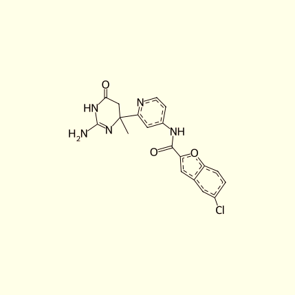 CC1(c2cc(NC(=O)c3cc4cc(Cl)ccc4o3)ccn2)CC(=O)NC(N)=N1